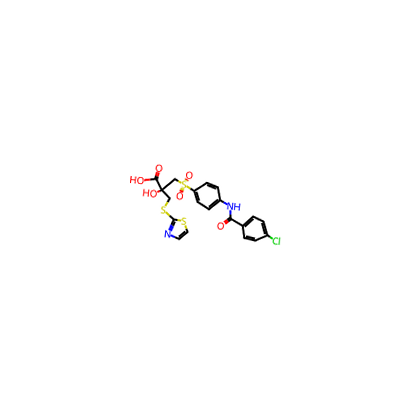 O=C(Nc1ccc(S(=O)(=O)CC(O)(CSc2nccs2)C(=O)O)cc1)c1ccc(Cl)cc1